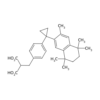 Cc1cc2c(cc1C1(c3ccc(CC(C(=O)O)C(=O)O)cc3)CC1)C(C)(C)CCC2(C)C